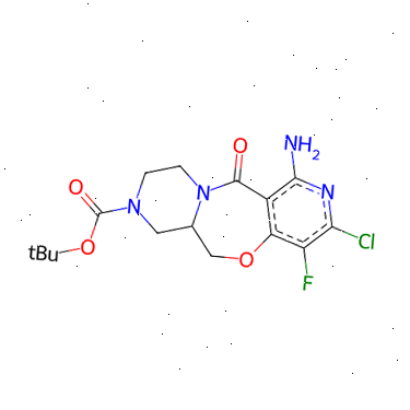 CC(C)(C)OC(=O)N1CCN2C(=O)c3c(N)nc(Cl)c(F)c3OCC2C1